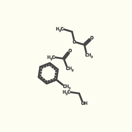 CC(C)=O.CCO.CCOC(C)=O.Cc1ccccc1